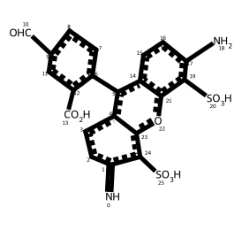 N=c1ccc2c(-c3ccc(C=O)cc3C(=O)O)c3ccc(N)c(S(=O)(=O)O)c3oc-2c1S(=O)(=O)O